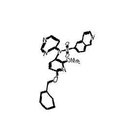 COc1nc(OCC2CCCCC2)ccc1N(c1ccncn1)S(=O)(=O)c1ccc2cnccc2c1